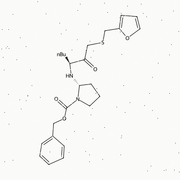 CCCC[C@H](N[C@@H]1CCCN1C(=O)OCc1ccccc1)C(=O)CSCc1ccco1